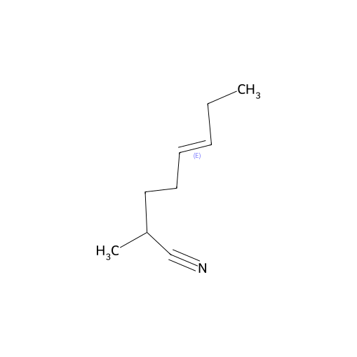 CC/C=C/CCC(C)C#N